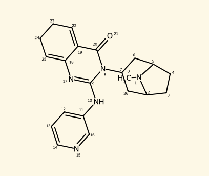 CN1C2CCC1CC(n1c(Nc3cccnc3)nc3c(c1=O)=CCCC=3)C2